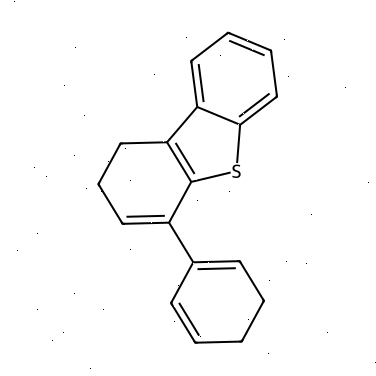 C1=CC(C2=CCCc3c2sc2ccccc32)=CCC1